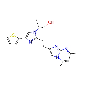 Cc1cc(C)n2cc(CCc3nc(-c4cccs4)cn3C(C)CO)nc2n1